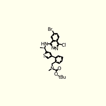 C[C@@H](Nc1nnc(Cl)c2ccc(Br)cc12)c1cc(-c2ccccc2CN(C)C(=O)OC(C)(C)C)cs1